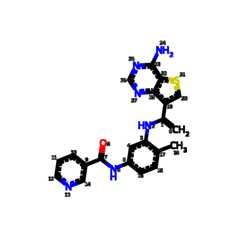 C=C(Nc1cc(NC(=O)c2cccnc2)ccc1C)c1csc2c(N)ncnc12